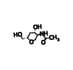 CC(=O)N[C@H]1CO[C@H](CO)C[C@@H]1O